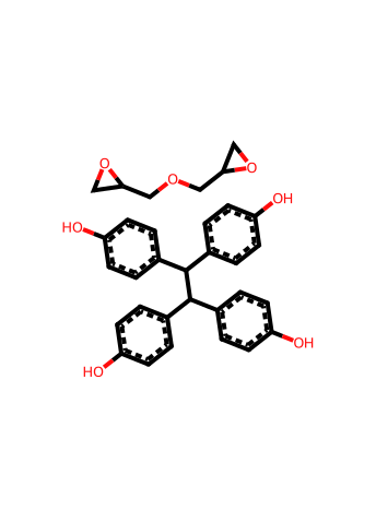 C(OCC1CO1)C1CO1.Oc1ccc(C(c2ccc(O)cc2)C(c2ccc(O)cc2)c2ccc(O)cc2)cc1